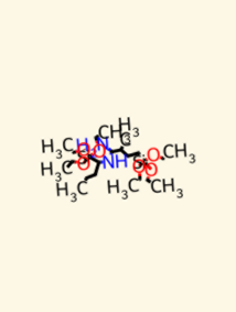 CCCC(NC(N)C(C)CC[Si](OCC)(OCC)OCC)[Si](OCC)(OCC)OCC